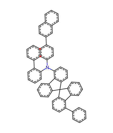 c1ccc(-c2ccccc2N(c2ccc(-c3ccc4ccccc4c3)cc2)c2cccc3c2-c2ccccc2C32c3ccccc3-c3c(-c4ccccc4)cccc32)cc1